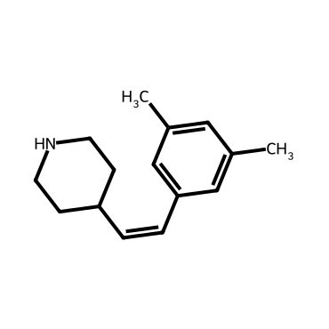 Cc1cc(C)cc(/C=C\C2CCNCC2)c1